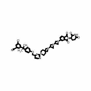 CC(C)(c1ccc(OCc2ccnc(N3CCC4(CC3)CN(C3CN(C5CN(c6ccc7c(c6)C(=O)N(C6CCC(=O)NC6=O)C7=O)C5)C3)C4)n2)cc1)c1cc(Cl)cc(C#N)c1